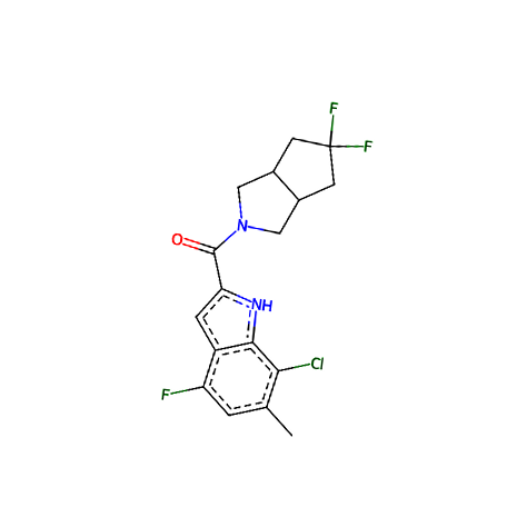 Cc1cc(F)c2cc(C(=O)N3CC4CC(F)(F)CC4C3)[nH]c2c1Cl